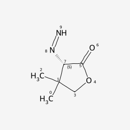 CC1(C)COC(=O)[C@H]1N=N